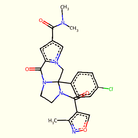 Cc1nocc1C(=O)N1CCN2C(=O)c3cc(C(=O)N(C)C)cn3CC12c1ccc(Cl)cc1